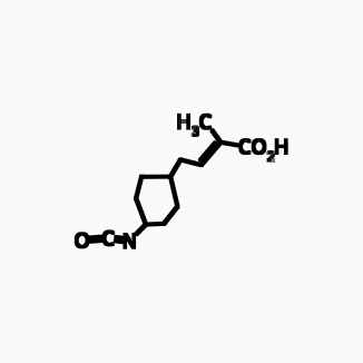 CC(=CCC1CCC(N=C=O)CC1)C(=O)O